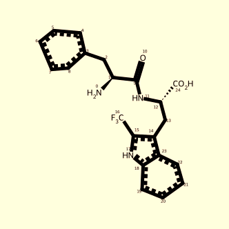 N[C@@H](Cc1ccccc1)C(=O)N[C@@H](Cc1c(C(F)(F)F)[nH]c2ccccc12)C(=O)O